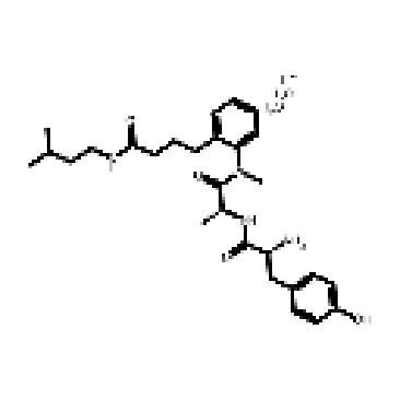 CC(C)CCNC(=O)CCCc1ccccc1N(C)C(=O)[C@H](C)NC(=O)[C@@H](N)Cc1ccc(O)cc1.Cl.O.O